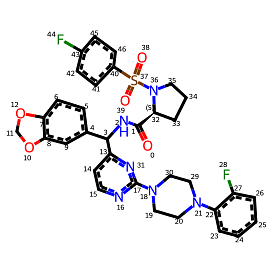 O=C(NC(c1ccc2c(c1)OCO2)c1ccnc(N2CCN(c3ccccc3F)CC2)n1)[C@@H]1CCCN1S(=O)(=O)c1ccc(F)cc1